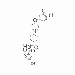 O=C(NS(=O)(=O)c1cc(Br)cs1)[C@H]1CC[C@H](N2CCC(Oc3ccc(Cl)c(Cl)c3)CC2)CC1